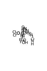 Cn1c(=O)c2c(nc(N3CCN(CC4CCNCC4)CC3)n2Cc2nnc(-c3ccc(Cl)c(Cl)c3)o2)n(C)c1=O.O=C(O)C(F)(F)F